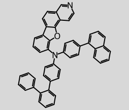 c1ccc(-c2ccccc2-c2ccc(N(c3ccc(-c4cccc5ccccc45)cc3)c3cccc4c3oc3c5ccncc5ccc43)cc2)cc1